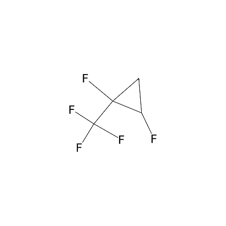 FC1CC1(F)C(F)(F)F